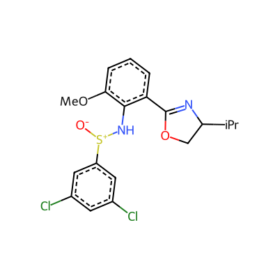 COc1cccc(C2=NC(C(C)C)CO2)c1N[S+]([O-])c1cc(Cl)cc(Cl)c1